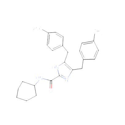 Cc1ccc(Cc2nc(C(=O)NC3CCCCC3)[nH]c2Cc2ccc(C)cc2)cc1